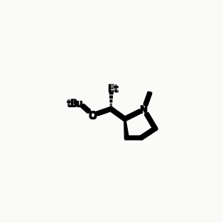 CC[C@@H](OC(C)(C)C)[C@@H]1CCCN1C